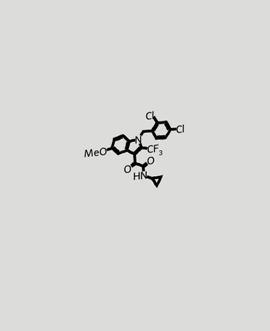 COc1ccc2c(c1)c(C(=O)C(=O)NC1CC1)c(C(F)(F)F)n2Cc1ccc(Cl)cc1Cl